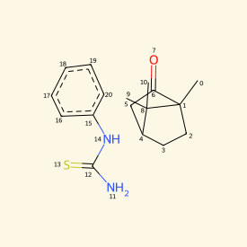 CC12CCC(CC1=O)C2(C)C.NC(=S)Nc1ccccc1